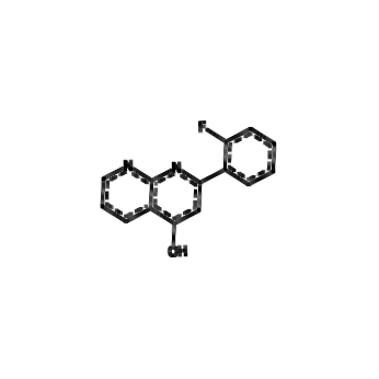 Oc1cc(-c2ccccc2F)nc2ncccc12